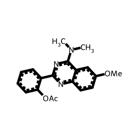 COc1ccc2nc(-c3ccccc3OC(C)=O)nc(N(C)C)c2c1